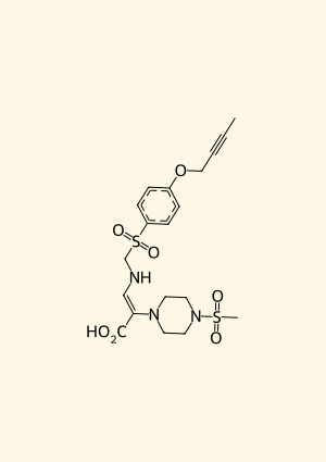 CC#CCOc1ccc(S(=O)(=O)CNC=C(C(=O)O)N2CCN(S(C)(=O)=O)CC2)cc1